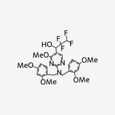 COc1ccc(CN(Cc2ccc(OC)cc2OC)c2ncc(C(O)C(F)(F)C(F)F)c(OC)n2)c(OC)c1